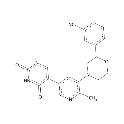 Cc1nnc(-c2c[nH]c(=O)[nH]c2=O)cc1N1CCOC(c2cccc(C#N)c2)C1